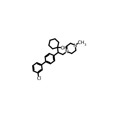 CN1CCN(CC(c2ccc(-c3cccc(Cl)c3)cc2)C2(O)CCCCC2)CC1